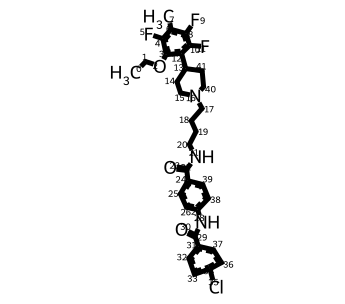 CCOc1c(F)c(C)c(F)c(F)c1C1CCN(CCCCNC(=O)c2ccc(NC(=O)c3ccc(Cl)cc3)cc2)CC1